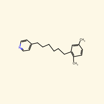 Cc1ccc(C)c(CCCCCCc2ccncc2)c1